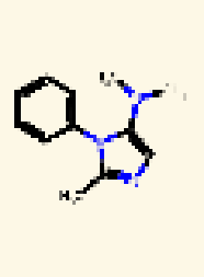 Cc1ncc(N(C)C)n1-c1ccccc1